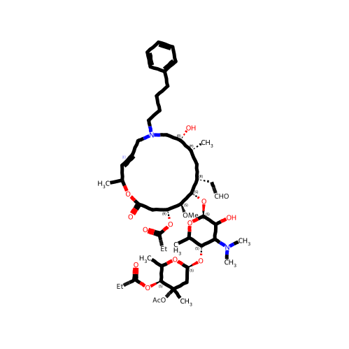 CCC(=O)O[C@@H]1CC(=O)OC(C)/C=C/CN(CCCCc2ccccc2)C[C@H](O)[C@H](C)C[C@H](CC=O)[C@H](O[C@@H]2OC(C)[C@@H](O[C@H]3CC(C)(OC(C)=O)[C@@H](OC(=O)CC)C(C)O3)C(N(C)C)C2O)[C@H]1OC